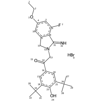 Br.CCOc1cc(F)c2c(c1)CN(CC(=O)c1cc(C(C)(C)C)c(O)c(C(C)(C)C)c1)C2=N